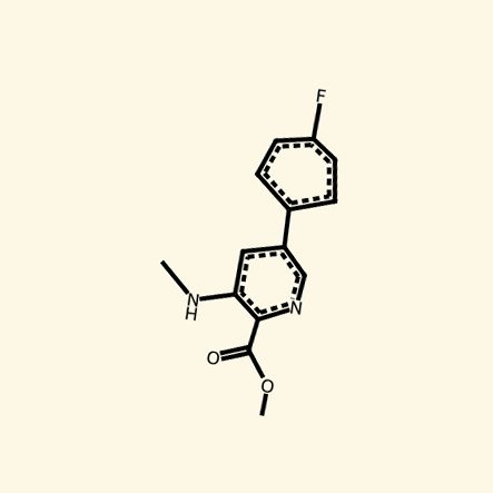 CNc1cc(-c2ccc(F)cc2)cnc1C(=O)OC